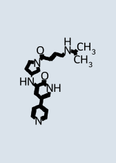 CC(C)NCC=CC(=O)N1CC[C@@H](Nc2cc(-c3ccncc3)c[nH]c2=O)C1